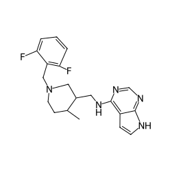 CC1CCN(Cc2c(F)cccc2F)CC1CNc1ncnc2[nH]ccc12